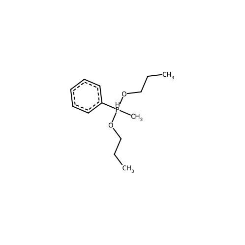 CCCO[PH](C)(OCCC)c1ccccc1